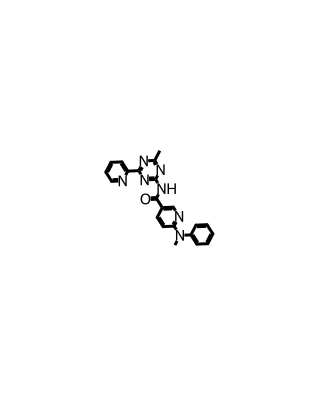 Cc1nc(NC(=O)c2ccc(N(C)c3ccccc3)nc2)nc(-c2ccccn2)n1